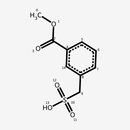 COC(=O)c1cccc(CS(=O)(=O)O)c1